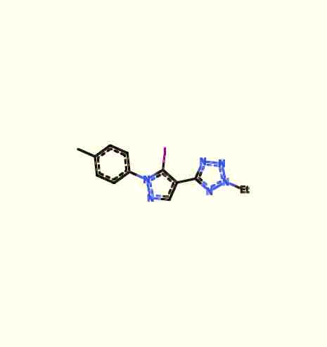 CCn1nnc(-c2cnn(-c3ccc(C)cc3)c2I)n1